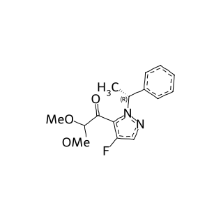 COC(OC)C(=O)c1c(F)cnn1[C@H](C)c1ccccc1